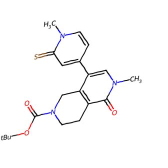 Cn1ccc(-c2cn(C)c(=O)c3c2CN(C(=O)OC(C)(C)C)CC3)cc1=S